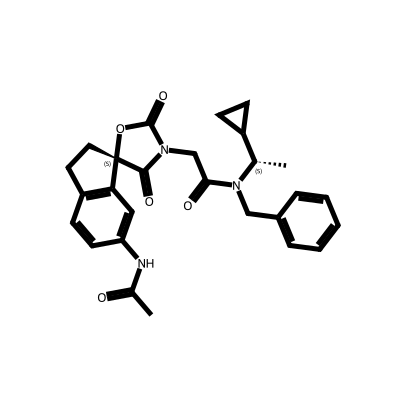 CC(=O)Nc1ccc2c(c1)[C@]1(CC2)OC(=O)N(CC(=O)N(Cc2ccccc2)[C@@H](C)C2CC2)C1=O